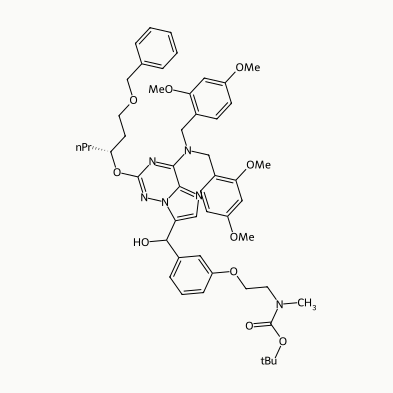 CCC[C@H](CCOCc1ccccc1)Oc1nc(N(Cc2ccc(OC)cc2OC)Cc2ccc(OC)cc2OC)c2ncc(C(O)c3cccc(OCCN(C)C(=O)OC(C)(C)C)c3)n2n1